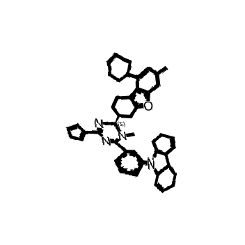 CC1C=C(C2CCCCC2)c2c(oc3c2CCC([C@@H]2N=C(C4=CCC=C4)N=C(c4cccc(N5C6C=CCCC6C6C=CCCC65)c4)N2C)C3)C1